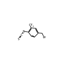 FC(F)(F)c1cc(CBr)ccc1N=C=S